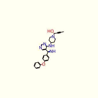 CC#CC(O)N1CCC(Nc2ncncc2C(=N)c2ccc(Oc3ccccc3)cc2)CC1